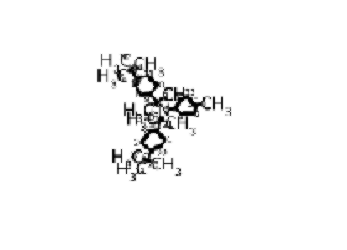 Cc1ccc(N(C(C)(C)c2ccc(C(C)(C)C)cc2)C(C)(C)c2ccc(C(C)(C)C)cc2)cc1